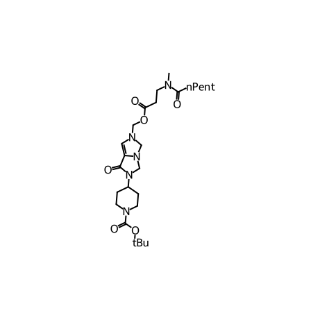 CCCCCC(=O)N(C)CCC(=O)OCN1C=C2C(=O)N(C3CCN(C(=O)OC(C)(C)C)CC3)CN2C1